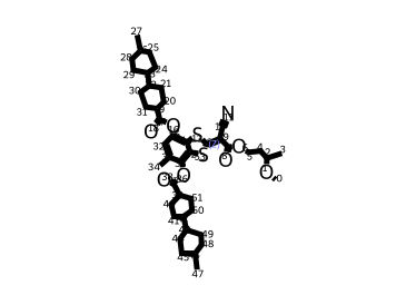 COC(C)CCOC(=O)/C(C#N)=C1/Sc2c(OC(=O)C3CCC(C4CCC(C)CC4)CC3)cc(C)c(OC(=O)C3CCC(C4CCC(C)CC4)CC3)c2S1